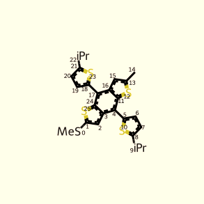 CSc1cc2c(-c3ccc(C(C)C)s3)c3sc(C)cc3c(-c3ccc(C(C)C)s3)c2s1